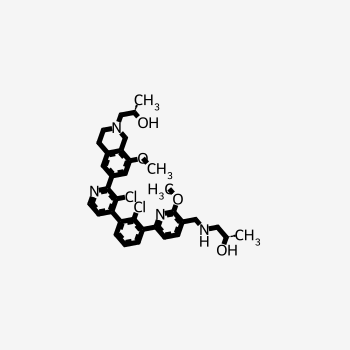 COc1cc(-c2nccc(-c3cccc(-c4ccc(CNC[C@H](C)O)c(OC)n4)c3Cl)c2Cl)cc2c1CN(C[C@H](C)O)CC2